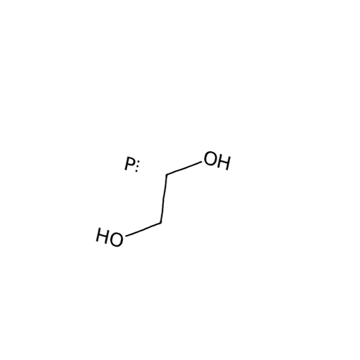 OCCO.[P]